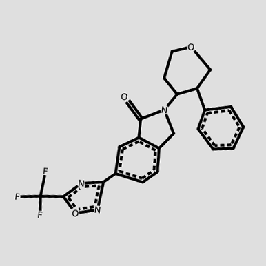 O=C1c2cc(-c3noc(C(F)(F)F)n3)ccc2CN1C1CCOCC1c1ccccc1